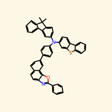 CC1(C)c2ccccc2-c2cc(N(c3ccc(-c4ccc5ccc6nc(-c7ccccc7)oc6c5c4)cc3)c3ccc4c(c3)sc3ccccc34)ccc21